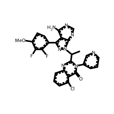 COc1ccc(-c2nn(C(C)c3nc4cccc(Cl)c4c(=O)n3-c3cccnc3)c3ncnc(N)c23)c(F)c1F